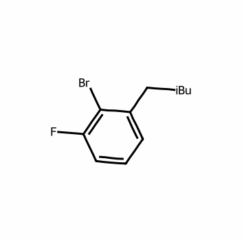 CCC(C)Cc1cccc(F)c1Br